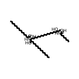 CCCCCCCCCCCCCCCC(=O)NC(C(O)CCCCCCCCCCCCCCC)C(O)CCCCCCCCCCCCCCCC(O)C(CO)NC(=O)CCCCCCC